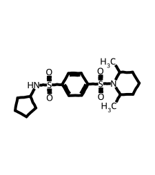 CC1CCCC(C)N1S(=O)(=O)c1ccc(S(=O)(=O)NC2CCCC2)cc1